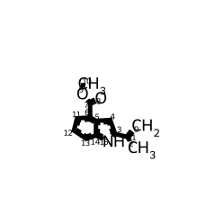 C=C(C)c1cc2c(C(=O)OC)cccc2[nH]1